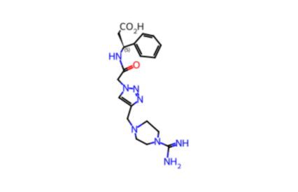 N=C(N)N1CCN(Cc2cn(CC(=O)N[C@@H](CC(=O)O)c3ccccc3)nn2)CC1